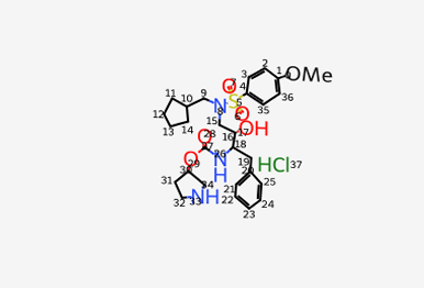 COc1ccc(S(=O)(=O)N(CC2CCCC2)C[C@H](O)C(Cc2ccccc2)NC(=O)O[C@@H]2CCNC2)cc1.Cl